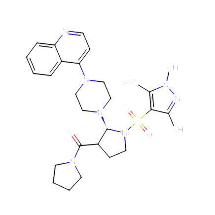 Cc1nn(C)c(C)c1S(=O)(=O)N1CCC(C(=O)N2CCCC2)[C@H]1N1CCN(c2ccnc3ccccc23)CC1